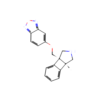 c1ccc2c(c1)[C@H]1CNC[C@@]21COc1ccc2nonc2c1